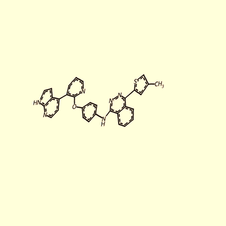 Cc1csc(-c2nnc(Nc3ccc(Oc4ncccc4-c4ccnc5[nH]ccc45)cc3)c3ccccc23)c1